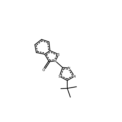 CC(C)(C)c1nnc(-n2sc3ccccc3c2=O)s1